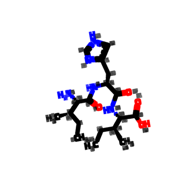 CC[C@H](C)[C@H](N)C(=O)N[C@@H](Cc1c[nH]cn1)C(=O)N[C@H](C(=O)O)[C@@H](C)CC